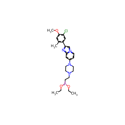 CCOP(CCN1CCN(c2ccn3cc(-c4cc(Cl)c(OC)cc4C)nc3c2)CC1)OCC